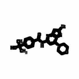 CCc1cc2nc(NC(=O)c3ccc(C(C)(C)O)cc3)cc(N3CCOCC3)n2n1